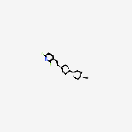 CCCC[C@H]1CC[C@H]([C@H]2CC[C@H](CCc3ccc(F)nc3F)CC2)CC1